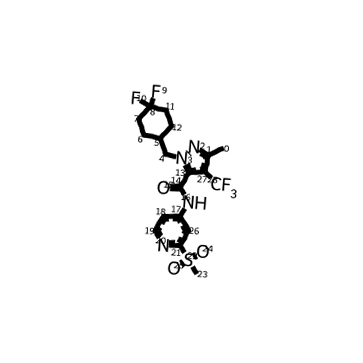 Cc1nn(CC2CCC(F)(F)CC2)c(C(=O)Nc2ccnc(S(C)(=O)=O)c2)c1C(F)(F)F